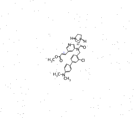 COC(=O)/C=C/c1cncc(N(Cc2ccc(-c3ccc(N(C)C)cc3)cc2Cl)C(=O)[C@@H]2C[C@@H]3CC[C@H]2C3)c1